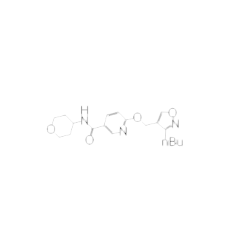 CCCCc1nocc1COc1ccc(C(=O)NC2CCOCC2)cn1